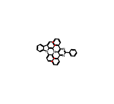 c1ccc(-c2nc(-c3ccccc3)c(N3c4ccccc4-n4c5ccccc5c5cccc3c54)c(-c3ccccc3)n2)cc1